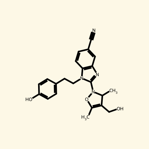 CC1=C(CO)C(C)N(c2nc3cc(C#N)ccc3n2CCc2ccc(O)cc2)O1